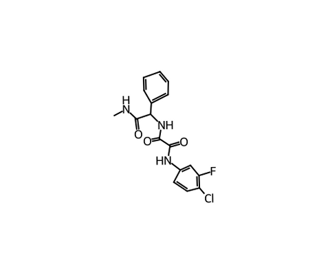 CNC(=O)C(NC(=O)C(=O)Nc1ccc(Cl)c(F)c1)c1ccccc1